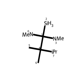 CNC([SiH3])(NC)C(C)(C)C(C)C